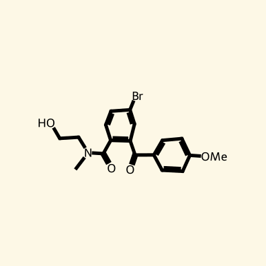 COc1ccc(C(=O)c2cc(Br)ccc2C(=O)N(C)CCO)cc1